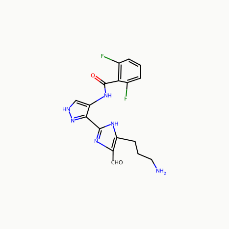 NCCCc1[nH]c(-c2n[nH]cc2NC(=O)c2c(F)cccc2F)nc1C=O